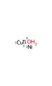 O.[Cu].[Ni].[Ti]